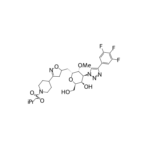 CO[C@@H]1[C@@H](n2cc(-c3cc(F)c(F)c(F)c3)nn2)[C@@H](O)[C@@H](CO)O[C@@H]1CC1CC(C2CCN(S(=O)(=O)C(C)C)CC2)=NO1